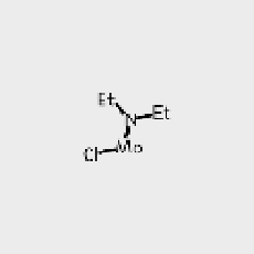 CC[N](CC)[Mo][Cl]